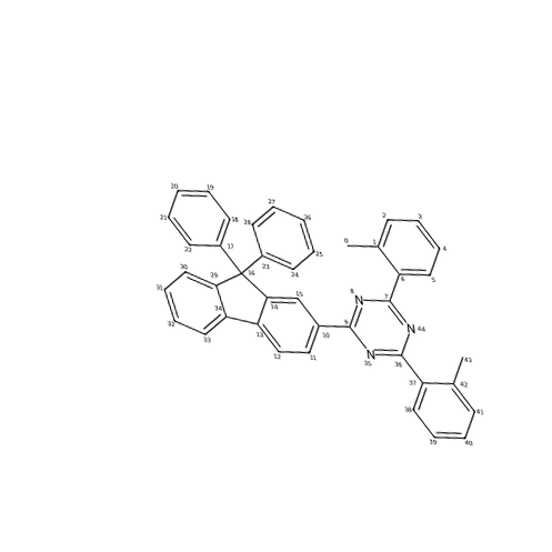 Cc1ccccc1-c1nc(-c2ccc3c(c2)C(c2ccccc2)(c2ccccc2)c2ccccc2-3)nc(-c2ccccc2C)n1